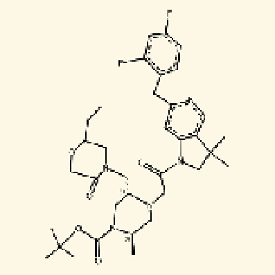 CCC1CN(C[C@H]2CN(C(=O)OC(C)(C)C)[C@H](C)CN2CC(=O)N2CC(C)(C)c3cnc(Cc4ccc(F)cc4F)cc32)C(=O)CO1